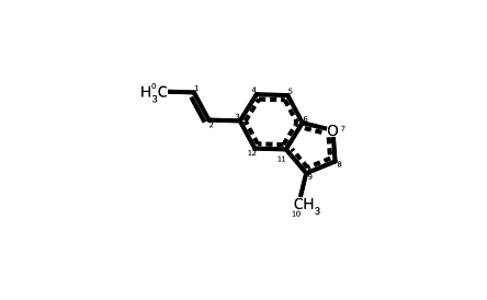 C/C=C/c1ccc2occ(C)c2c1